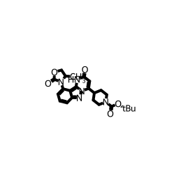 CC1COC(=O)N1c1cccc2nn3c(C4CCN(C(=O)OC(C)(C)C)CC4)cc(=O)[nH]c3c12